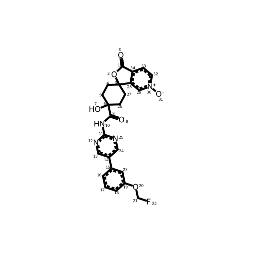 O=C1OC2(CCC(O)(C(=O)Nc3ncc(-c4cccc(OCF)c4)cn3)CC2)c2c[n+]([O-])ccc21